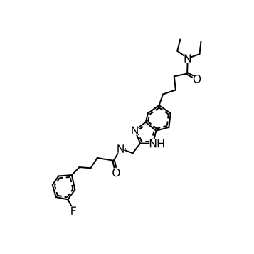 CCN(CC)C(=O)CCCc1ccc2[nH]c(C[N]C(=O)CCCc3cccc(F)c3)nc2c1